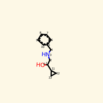 OC(CNCc1ccccc1)C1CC1